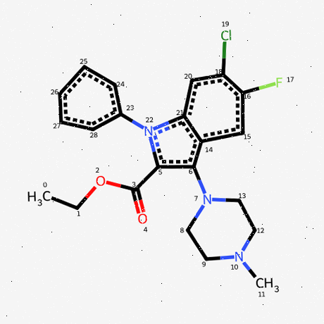 CCOC(=O)c1c(N2CCN(C)CC2)c2cc(F)c(Cl)cc2n1-c1ccccc1